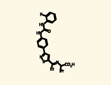 CCC(=NC(C(=O)O)C(C)C)c1cc(-c2ccc(NC(=O)Nc3ccccc3F)cc2)ns1